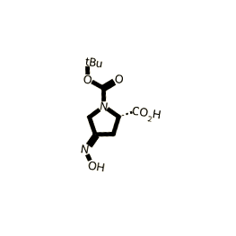 CC(C)(C)OC(=O)N1C/C(=N/O)C[C@H]1C(=O)O